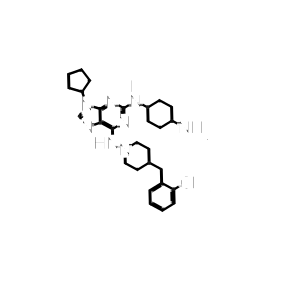 Cc1ccccc1CC1CCN(Nc2nc(NC3CCC(N)CC3)nc3c2ncn3C2CCCC2)CC1